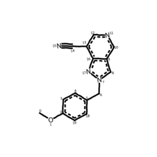 COc1ccc(Cn2cc3cncc(C#N)c3n2)cc1